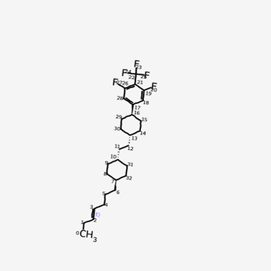 CC/C=C/CCC[C@H]1CC[C@H](CC[C@H]2CC[C@H](c3cc(F)c(C(F)(F)F)c(F)c3)CC2)CC1